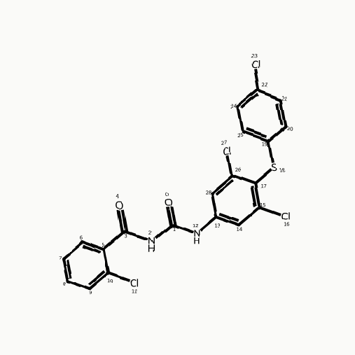 O=C(NC(=O)c1ccccc1Cl)Nc1cc(Cl)c(Sc2ccc(Cl)cc2)c(Cl)c1